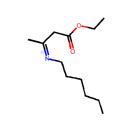 CCCCCC/N=C(/C)CC(=O)OCC